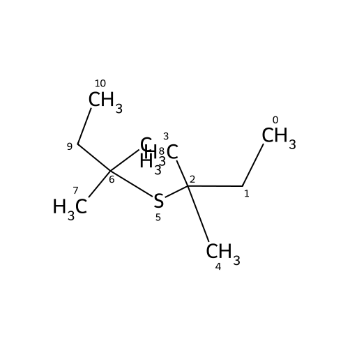 CCC(C)(C)SC(C)(C)CC